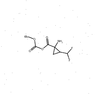 CC(C)(C)OC(=O)OC(=O)C1(N)CC1C(F)F